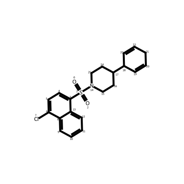 O=S(=O)(c1ccc(Cl)c2ccccc12)N1CCC(C2C=CCC=C2)CC1